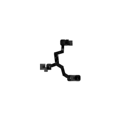 CC(=O)OCC=C(C)CCC=O